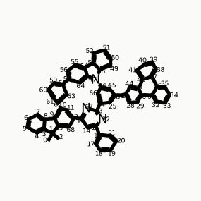 CC1(C)c2ccccc2-c2ccc(-c3cc(-c4ccccc4)nc(-c4cc(-c5ccc6c7ccccc7c7ccccc7c6c5)cc(-n5c6ccccc6c6ccc(-c7ccccc7)cc65)c4)n3)cc21